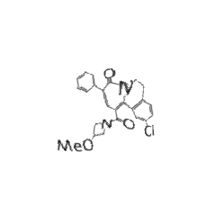 COC1CN(C(=O)c2cc(-c3ccccc3)c(=O)n3c2-c2cc(Cl)ccc2CC3)C1